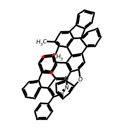 Cc1cc2c(c(-c3c(-c4ccccc4)cc4oc5ccccc5c4c3-c3ccccc3-c3nnnc(-c4ccccc4)c3-c3ccccc3-c3ccccc3)c1C)Cc1ccccc1-2